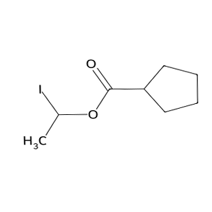 CC(I)OC(=O)C1CCCC1